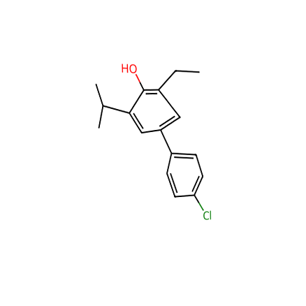 CCc1cc(-c2ccc(Cl)cc2)cc(C(C)C)c1O